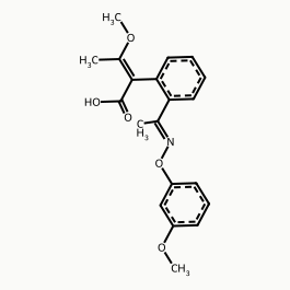 COC(C)=C(C(=O)O)c1ccccc1C(C)=NOc1cccc(OC)c1